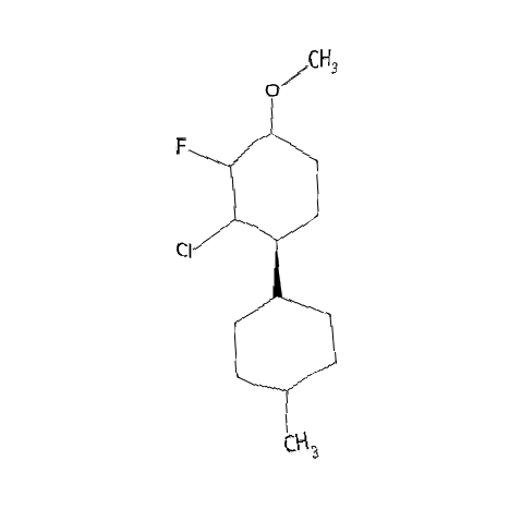 COC1CC[C@@H](C2CCC(C)CC2)C(Cl)C1F